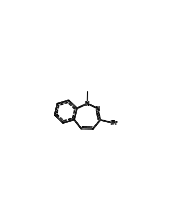 CC(C)C1=NN(C)c2ccccc2C=C1